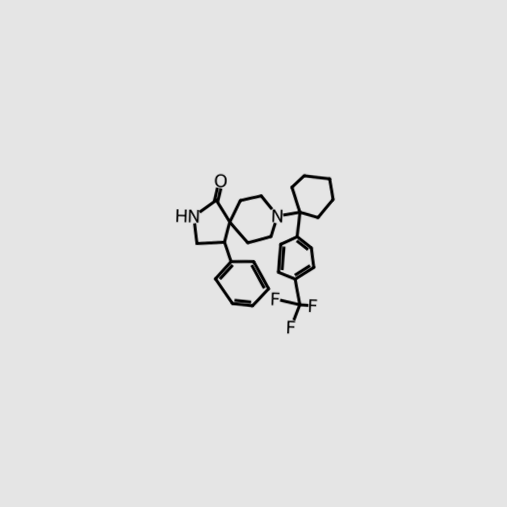 O=C1NCC(c2ccccc2)C12CCN(C1(c3ccc(C(F)(F)F)cc3)CCCCC1)CC2